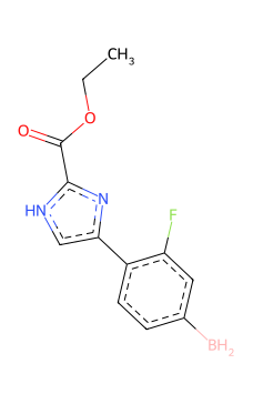 Bc1ccc(-c2c[nH]c(C(=O)OCC)n2)c(F)c1